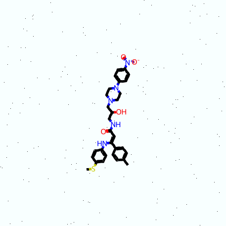 CSc1ccc(N/C(=C\C(=O)NCC(O)CN2CCN(c3ccc([N+](=O)[O-])cc3)CC2)c2ccc(C)cc2)cc1